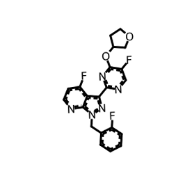 Fc1ccccc1Cn1nc(-c2ncc(F)c(OC3CCOC3)n2)c2c(F)ccnc21